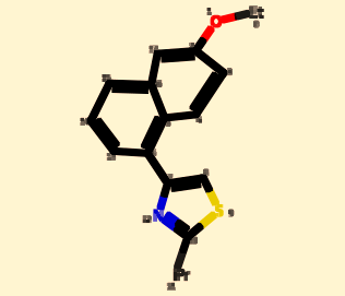 CCOc1ccc2c(-c3csc(C(C)C)n3)cccc2c1